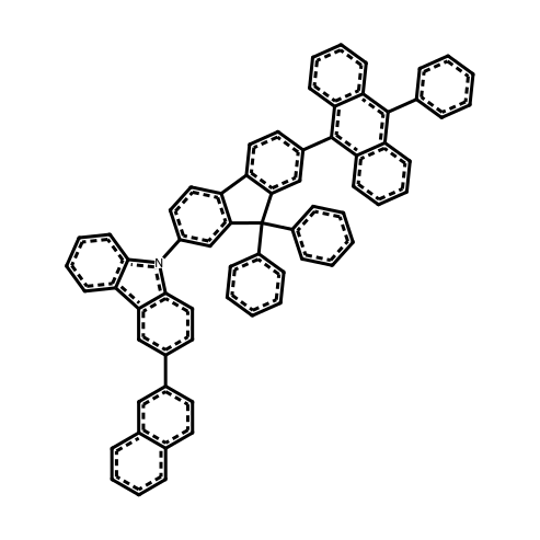 c1ccc(-c2c3ccccc3c(-c3ccc4c(c3)C(c3ccccc3)(c3ccccc3)c3cc(-n5c6ccccc6c6cc(-c7ccc8ccccc8c7)ccc65)ccc3-4)c3ccccc23)cc1